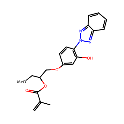 C=C(C)C(=O)OC(COC)COc1ccc(-n2nc3ccccc3n2)c(O)c1